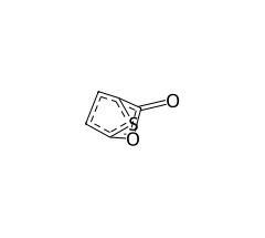 O=c1oc2ccc1s2